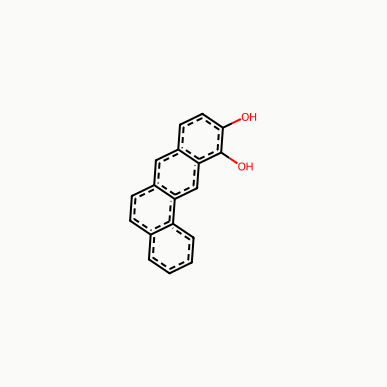 Oc1ccc2cc3ccc4ccccc4c3cc2c1O